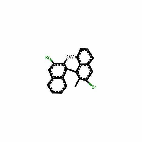 COc1c(Br)cc2ccccc2c1-c1c(C)c(Br)cc2ccccc12